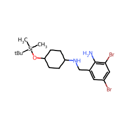 CC(C)(C)[Si](C)(C)OC1CCC(NCc2cc(Br)cc(Br)c2N)CC1